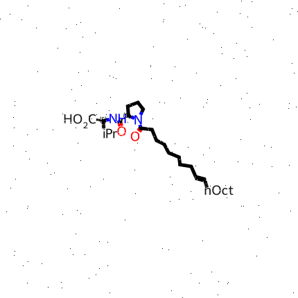 CCCCCCCCC=CCCCCCCCC(=O)N1CCC[C@H]1C(=O)N[C@H](C(=O)O)C(C)C